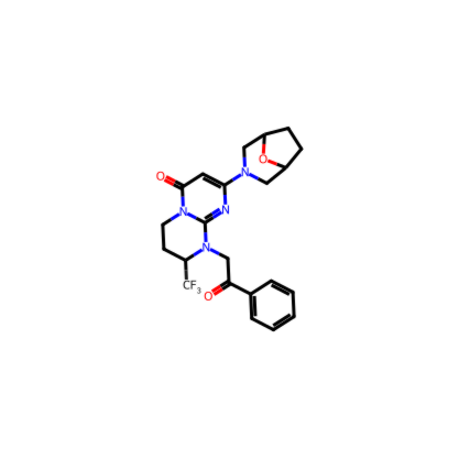 O=C(CN1c2nc(N3CC4CCC(C3)O4)cc(=O)n2CCC1C(F)(F)F)c1ccccc1